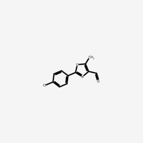 Cc1oc(-c2ccc(Cl)cc2)nc1C=O